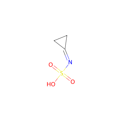 O=S(=O)(O)N=C1CC1